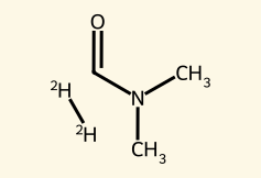 CN(C)C=O.[2H][2H]